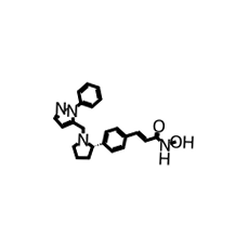 O=C(C=Cc1ccc([C@@H]2CCCN2Cc2ccnn2-c2ccccc2)cc1)NO